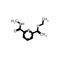 C=C(OCC)c1cccc(C(=O)NC)n1